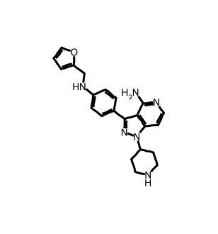 Nc1nccc2c1c(-c1ccc(NCc3ccco3)cc1)nn2C1CCNCC1